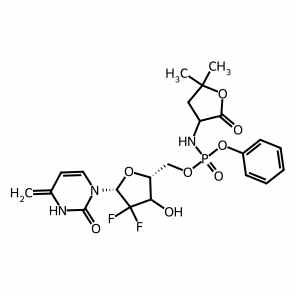 C=C1C=CN([C@@H]2O[C@H](COP(=O)(NC3CC(C)(C)OC3=O)Oc3ccccc3)C(O)C2(F)F)C(=O)N1